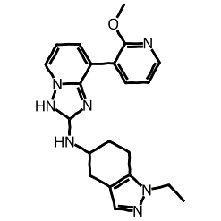 CCn1ncc2c1CCC(NC1N=C3C(c4cccnc4OC)=CC=CN3N1)C2